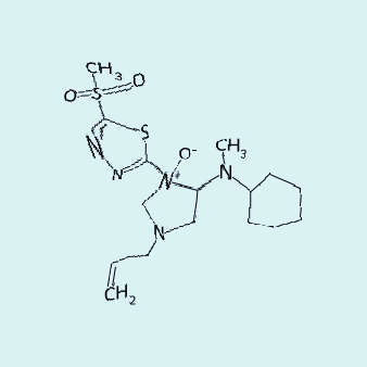 C=CCN1CC(N(C)C2CCCCC2)[N+]([O-])(c2nnc(S(C)(=O)=O)s2)C1